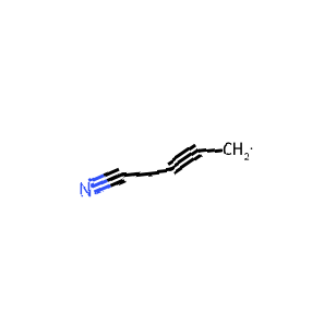 [CH2]C#CC#N